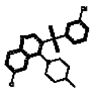 CC1CCN(c2c(S(=O)(=O)c3cccc(C#N)c3)cnc3ccc(Cl)cc23)CC1